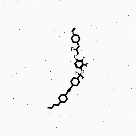 C=CC1CCC(CC(F)COc2ccc(OC(F)(F)C3CCC(C#CC4CCC(CCCC)CC4)CC3)c(F)c2F)CC1